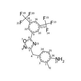 Cc1cc(Cc2noc(-c3cc(C(F)(F)F)cc(C(F)(F)F)c3)n2)ccc1N